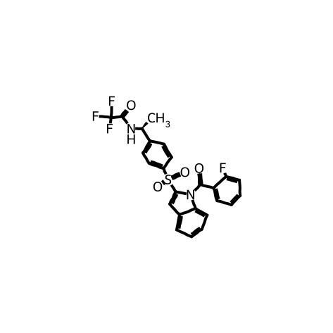 C[C@H](NC(=O)C(F)(F)F)c1ccc(S(=O)(=O)c2cc3ccccc3n2C(=O)c2ccccc2F)cc1